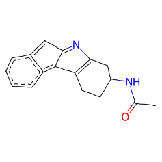 CC(=O)NC1CCC2=C(C1)N=C1C=c3ccccc3=C12